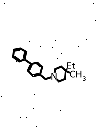 CCC1(C)CCN(Cc2ccc(-c3ccccc3)cc2)CC1